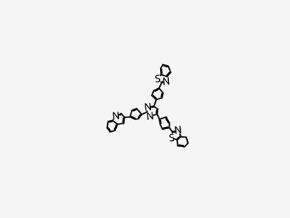 C1=Cc2sc(-c3ccc(-c4cc(-c5ccc(-c6nc7ccccc7s6)cc5)nc(-c5ccc(-c6cnc7ccccc7c6)cc5)n4)cc3)nc2CC1